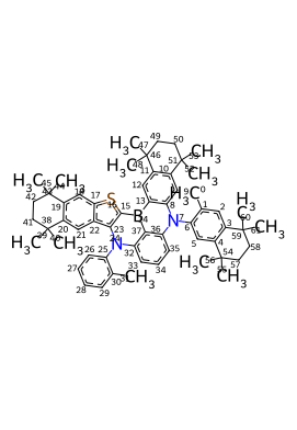 Cc1cc2c(cc1N1c3cc4c(cc3B3c5sc6cc7c(cc6c5N(c5ccccc5C)c5cccc1c53)C(C)(C)CCC7(C)C)C(C)(C)CCC4(C)C)C(C)(C)CCC2(C)C